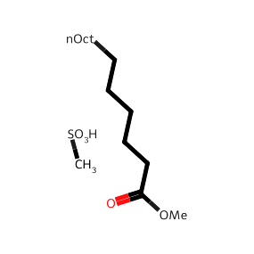 CCCCCCCCCCCCCC(=O)OC.CS(=O)(=O)O